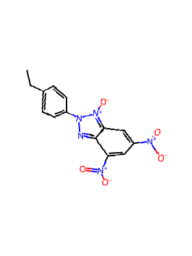 CCc1ccc(-n2nc3c([N+](=O)[O-])cc([N+](=O)[O-])cc3[n+]2[O-])cc1